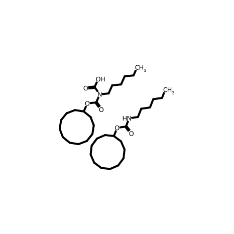 CCCCCCN(C(=O)O)C(=O)OC1CCCCCCCCCCC1.CCCCCCNC(=O)OC1CCCCCCCCCCC1